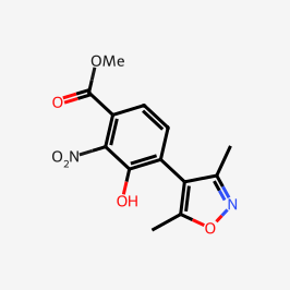 COC(=O)c1ccc(-c2c(C)noc2C)c(O)c1[N+](=O)[O-]